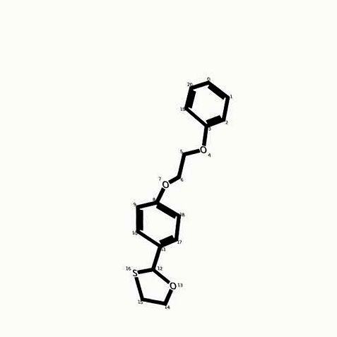 c1ccc(OCCOc2ccc(C3OCCS3)cc2)cc1